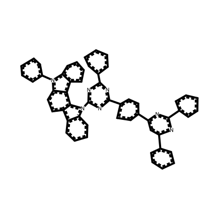 c1ccc(-c2cc(-c3ccc(-c4nc(-c5ccccc5)nc(-n5c6ccccc6c6ccc7c(c8ccccc8n7-c7ccccc7)c65)n4)cc3)nc(-c3ccccc3)n2)cc1